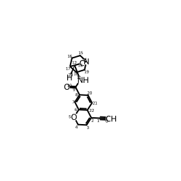 C#CC1=CCOc2cc(C(=O)N[C@H]3CN4CCC3CC4)ccc21